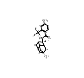 Bc1ccc(C(=O)N[C@H]2C3CC4CC2C[C@](O)(C4)C3)c(C(F)(F)F)c1